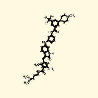 Cc1[nH]c(C=C2C(=O)Nc3cc(Nc4cccc(NC(=O)c5cc(N6CCN(C)CC6)cc(C(F)(F)F)c5)c4)ccc32)c(C)c1C(=O)NCCCN(C)C